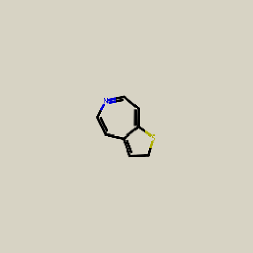 C1=CC2=CCSC2=CC=N1